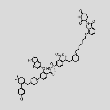 CC1(C)CCC(CN2CCN(c3ccc(C(=O)NS(=O)(=O)c4ccc(NCC5CCCN(CCCCCCSc6cccc7c6CN(C6CCC(=O)NC6=O)C7=O)C5)c([N+](=O)[O-])c4)c(Oc4cnc5[nH]ccc5c4)c3)CC2)=C(c2ccc(Cl)cc2)C1